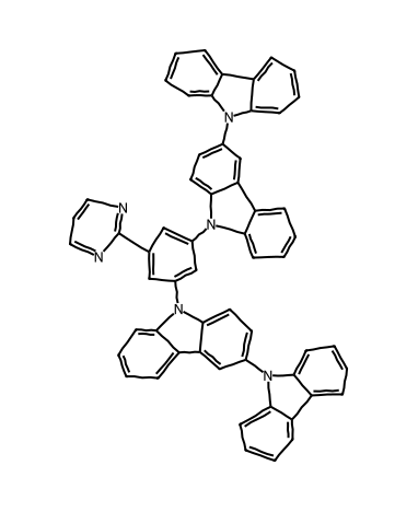 c1cnc(-c2cc(-n3c4ccccc4c4cc(-n5c6ccccc6c6ccccc65)ccc43)cc(-n3c4ccccc4c4cc(-n5c6ccccc6c6ccccc65)ccc43)c2)nc1